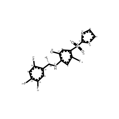 C[C@H](Nc1cc(F)c(S(=O)(=O)c2n[c]cs2)cc1Cl)c1cc(F)c(F)cc1F